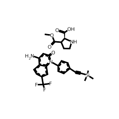 COC(=O)C1CCN[C@@H]1C(=O)O.C[Si](C)(C)C#Cc1ccc(-n2c(=O)cc(N)c3ccc(C(F)(F)F)cc32)cc1